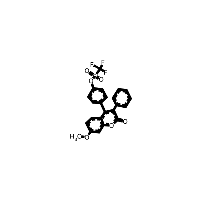 COc1ccc2c(-c3ccc(OS(=O)(=O)C(F)(F)F)cc3)c(-c3ccccc3)c(=O)oc2c1